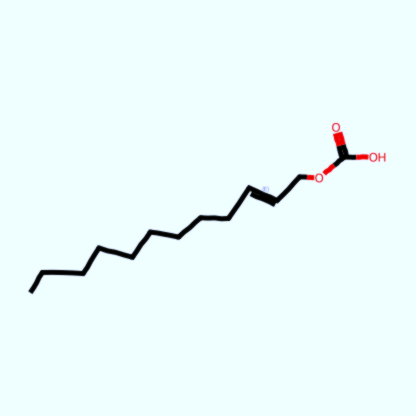 CCCCCCCCC/C=C/COC(=O)O